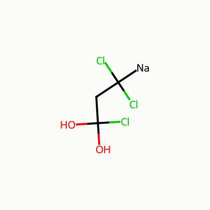 OC(O)(Cl)C[C]([Na])(Cl)Cl